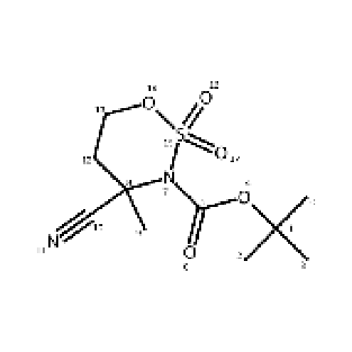 CC(C)(C)OC(=O)N1C(C)(C#N)CCOS1(=O)=O